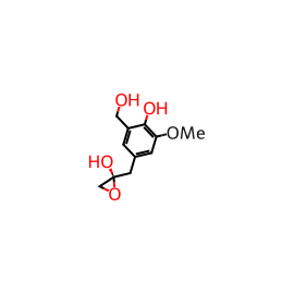 COc1cc(C[C@@]2(O)CO2)cc(CO)c1O